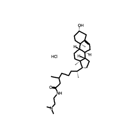 CC(CCC[C@@H](C)[C@H]1CC[C@H]2[C@@H]3CC=C4C[C@@H](O)CC[C@]4(C)[C@H]3CC[C@]12C)CC(=O)NCCN(C)C.Cl